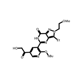 CCCCOc1ncc(C(=O)CO)cc1-c1nc2c(CC)n(CCOC)nc2c(=O)[nH]1